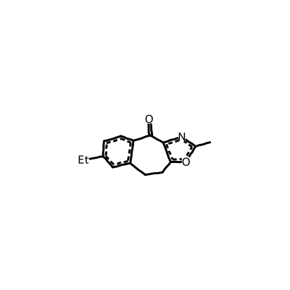 CCc1ccc2c(c1)CCc1oc(C)nc1C2=O